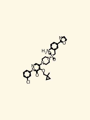 CC1(COc2c(N3CCN(S(=O)(=O)Cc4cc(-c5ncco5)ccc4N)CC3)cnn(-c3cccc(Cl)c3)c2=O)CC1